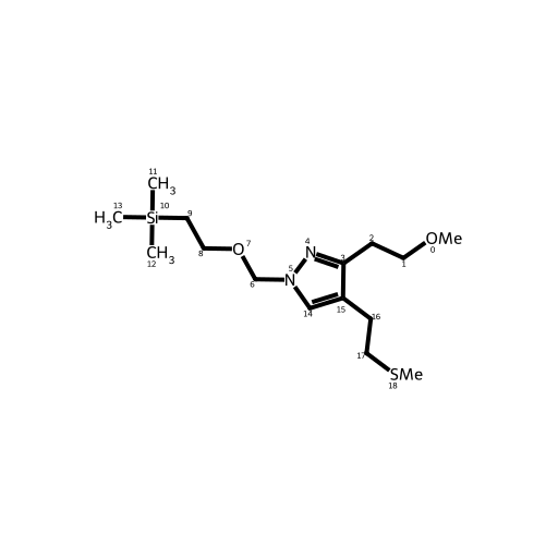 COCCc1nn(COCC[Si](C)(C)C)cc1CCSC